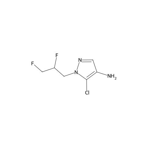 Nc1cnn(CC(F)CF)c1Cl